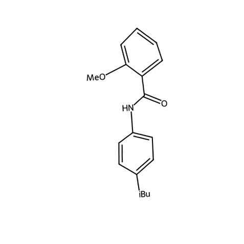 CCC(C)c1ccc(NC(=O)c2ccccc2OC)cc1